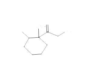 COC1(C(=O)CC(C)(C)C)CCCCC1C